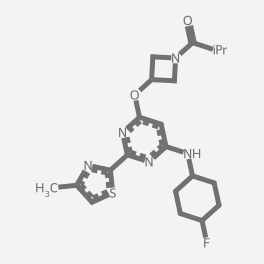 Cc1csc(-c2nc(NC3CCC(F)CC3)cc(OC3CN(C(=O)C(C)C)C3)n2)n1